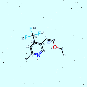 CCO/C=C\c1cnc(C)cc1C(F)(F)F